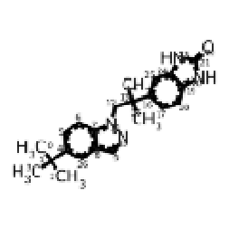 CC(C)(C)c1ccc2c(cnn2CC(C)(C)c2ccc3[nH]c(=O)[nH]c3c2)c1